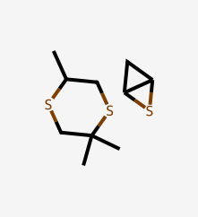 C1C2SC12.CC1CSC(C)(C)CS1